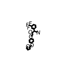 N#CC(C(=O)COc1ccc(Oc2ccco2)cc1)c1cccc(C(F)(F)F)c1